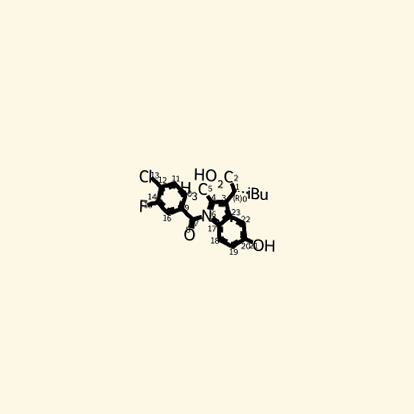 CCC(C)[C@@H](C(=O)O)c1c(C)n(C(=O)c2ccc(Cl)c(F)c2)c2ccc(O)cc12